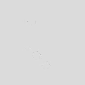 Cc1ccc(-c2ccc(C(=O)CCCCCCC(=O)O)cc2)cc1